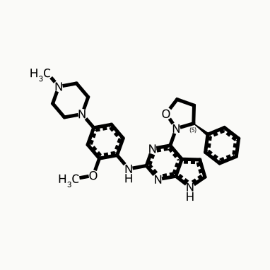 COc1cc(N2CCN(C)CC2)ccc1Nc1nc(N2OCC[C@H]2c2ccccc2)c2cc[nH]c2n1